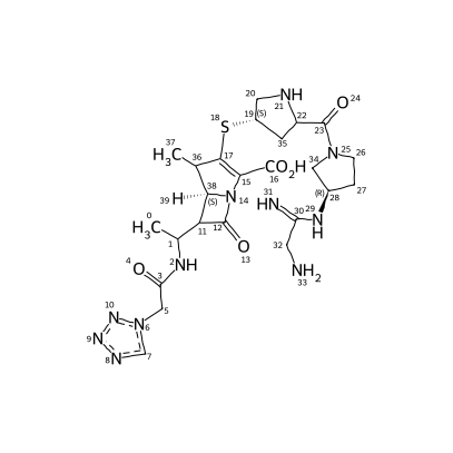 CC(NC(=O)Cn1cnnn1)C1C(=O)N2C(C(=O)O)=C(S[C@@H]3CNC(C(=O)N4CC[C@@H](NC(=N)CN)C4)C3)C(C)[C@H]12